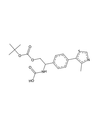 Cc1ncsc1-c1ccc(C(COC(=O)OC(C)(C)C)NC(=O)O)cc1